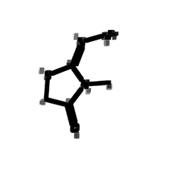 CCC/N=C1/SCC(=O)N1C